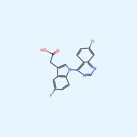 O=C(O)Cc1cn(-c2ncnc3cc(Cl)ccc23)c2ccc(F)cc12